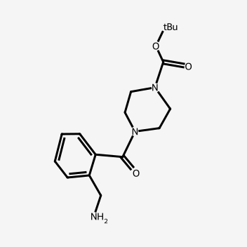 CC(C)(C)OC(=O)N1CCN(C(=O)c2ccccc2CN)CC1